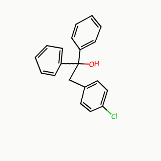 OC(Cc1ccc(Cl)cc1)(c1ccccc1)c1ccccc1